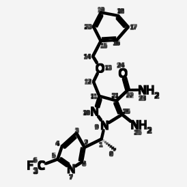 C[C@H](c1ccc(C(F)(F)F)nc1)n1nc(COCc2ccccc2)c(C(N)=O)c1N